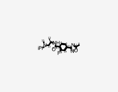 Cc1nc(-c2ccc(C(=O)N[C@H](C)CN(C)C(C)C)c(F)c2)no1